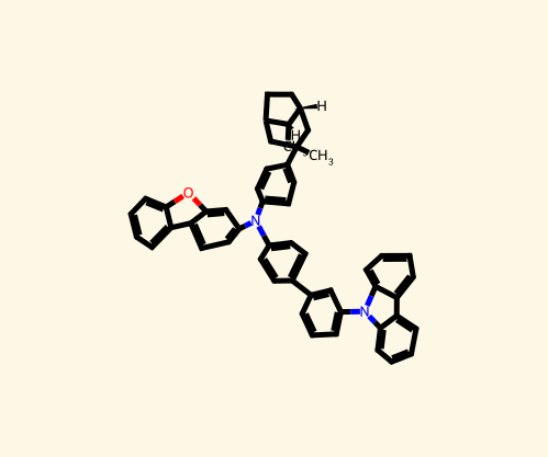 C[C@@H]1C2CC[C@@H]1CC(C)(c1ccc(N(c3ccc(-c4cccc(-n5c6ccccc6c6ccccc65)c4)cc3)c3ccc4c(c3)oc3ccccc34)cc1)C2